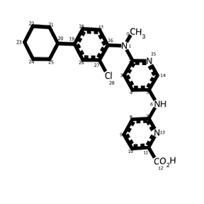 CN(c1ccc(Nc2cccc(C(=O)O)n2)cn1)c1ccc(C2CCCCC2)cc1Cl